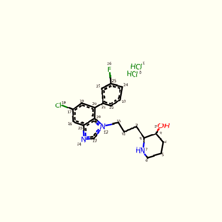 Cl.Cl.OC1CCCNC1CCCn1cnc2cc(Cl)cc(-c3cccc(F)c3)c21